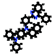 c1ccc(-c2nc(-c3cccc(-n4c5cc6c7ccccc7n(-c7ccccc7)c6cc5c5ccc6ccccc6c54)c3)nc3ccccc23)cc1